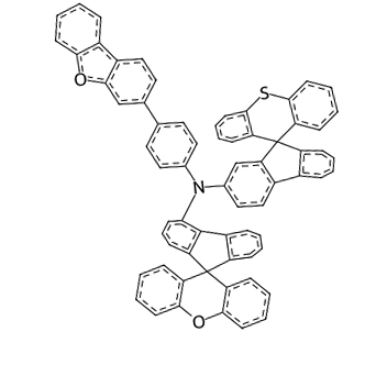 c1ccc2c(c1)Oc1ccccc1C21c2ccccc2-c2c(N(c3ccc(-c4ccc5c(c4)oc4ccccc45)cc3)c3ccc4c(c3)C3(c5ccccc5Sc5ccccc53)c3ccccc3-4)cccc21